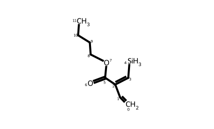 C=CC(=C[SiH3])C(=O)OCCCC